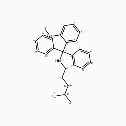 COc1ccccc1C(NCCNC(C)O)(c1ccccc1)c1ccccc1